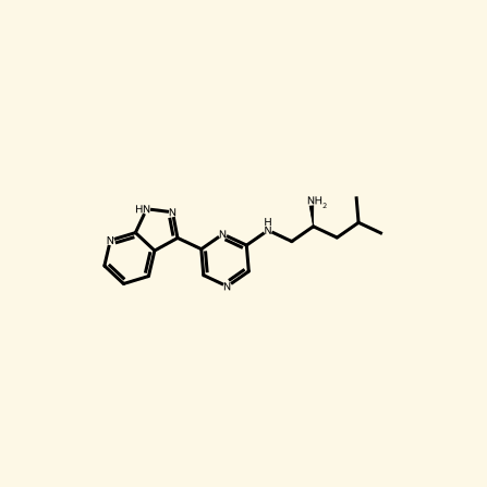 CC(C)C[C@H](N)CNc1cncc(-c2n[nH]c3ncccc23)n1